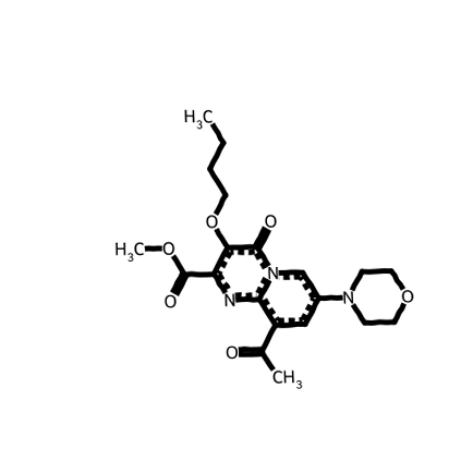 CCCCOc1c(C(=O)OC)nc2c(C(C)=O)cc(N3CCOCC3)cn2c1=O